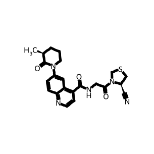 C[C@H]1CCCN(c2ccc3nccc(C(=O)NCC(=O)N4CSC[C@H]4C#N)c3c2)C1=O